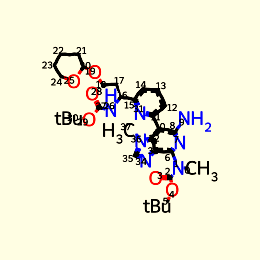 CN(C(=O)OC(C)(C)C)c1nc(N)c(-c2cccc([C@H](CCOC3CCCCO3)NC(=O)OC(C)(C)C)n2)c2c1ncn2C